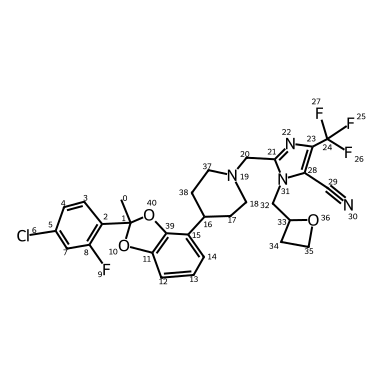 CC1(c2ccc(Cl)cc2F)Oc2cccc(C3CCN(Cc4nc(C(F)(F)F)c(C#N)n4CC4CCO4)CC3)c2O1